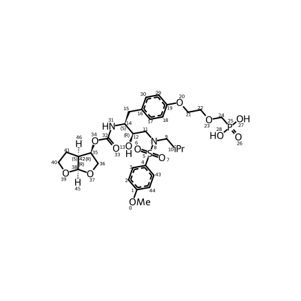 COc1ccc(S(=O)(=O)N(CC(C)C)C[C@@H](O)[C@H](Cc2ccc(OCCOCP(=O)(O)O)cc2)NC(=O)O[C@H]2CO[C@H]3OCC[C@H]32)cc1